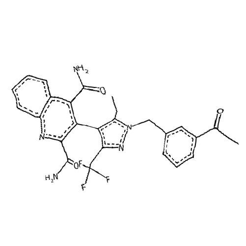 CC(=O)c1cccc(Cn2nc(C(F)(F)F)c(-c3c(C(N)=O)nc4ccccc4c3C(N)=O)c2C)c1